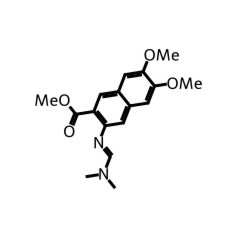 COC(=O)c1cc2cc(OC)c(OC)cc2cc1N=CN(C)C